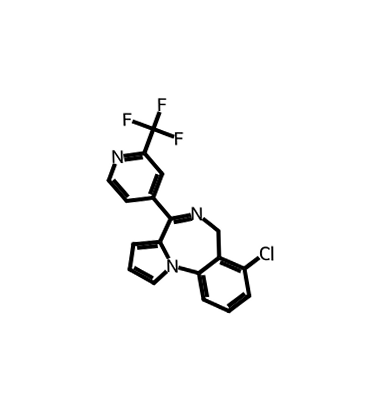 FC(F)(F)c1cc(C2=NCc3c(Cl)cccc3-n3cccc32)ccn1